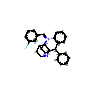 Fc1cccc(/C=N\C2C3CCN(CC3)C2C(c2ccccc2)c2ccccc2)c1F